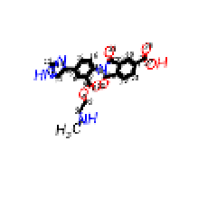 CNCCOC(=O)c1cc(-c2c[nH]cn2)ccc1N1C(=O)c2ccc(C(=O)O)cc2C1=O